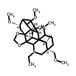 CCN1C[C@]2(COC)CCC(OC)C34C1C1(OCO[C@@]15C[C@H](OC)C1C[C@@H]3[C@@H]5C1OC)[C@@H](OC)[C@@H]42